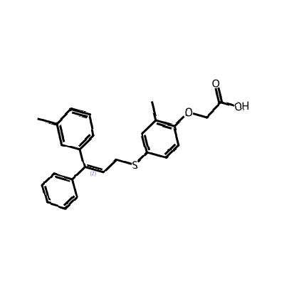 Cc1cccc(/C(=C\CSc2ccc(OCC(=O)O)c(C)c2)c2ccccc2)c1